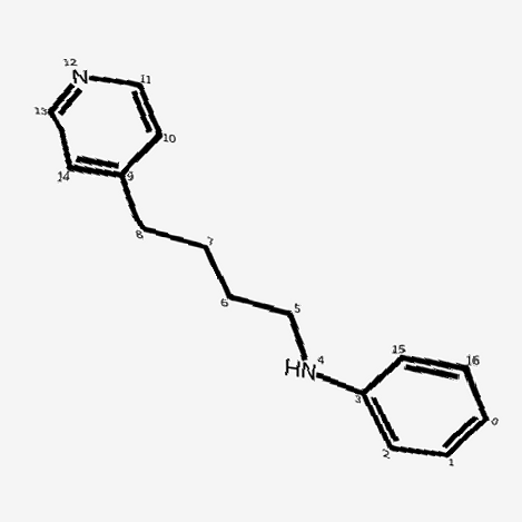 c1ccc(NCCCCc2ccncc2)cc1